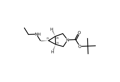 CCNC[C@@H]1[C@H]2CN(C(=O)OC(C)(C)C)C[C@@H]12